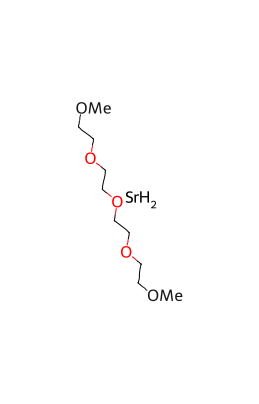 COCCOCCOCCOCCOC.[SrH2]